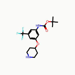 CC(C)(C)OC(=O)Nc1cc(OC2CCNCC2)cc(C(F)(F)F)c1